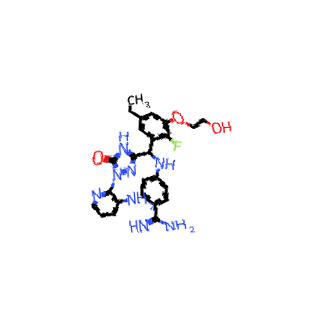 CCc1cc(OCCO)c(F)c(C(Nc2ccc(C(=N)N)cc2)c2nn(-c3ncccc3N)c(=O)[nH]2)c1